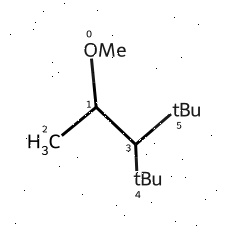 COC(C)C(C(C)(C)C)C(C)(C)C